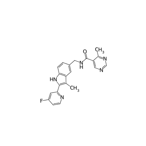 Cc1ncncc1C(=O)NCc1ccc2[nH]c(-c3cc(F)ccn3)c(C)c2c1